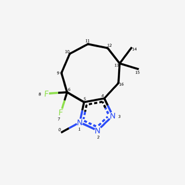 Cn1nnc2c1C(F)(F)CCCCC(C)(C)C2